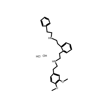 COc1ccc(CCNCCc2ccccc2CCNCCc2ccccc2)cc1OC.Cl.Cl